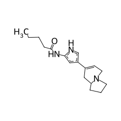 CCCCC(=O)Nc1cc(C2=CCN3CCCC3C2)c[nH]1